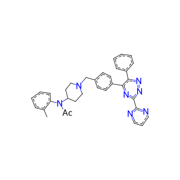 CC(=O)N(c1ccccc1C)C1CCN(Cc2ccc(-c3nc(-c4ncccn4)nnc3-c3ccccc3)cc2)CC1